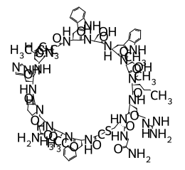 CCCC[C@H]1C(=O)N[C@@H](CCCNC(=N)N)C(=O)N[C@H](C(=O)NCC(N)=O)CSCC(=O)N[C@@H](Cc2ccccc2)C(=O)N(C)[C@@H](C)C(=O)N[C@@H](CC(N)=O)C(=O)N2CCC[C@H]2C(=O)N[C@@H](Cc2cnc[nH]2)C(=O)N[C@@H](CC(C)C)C(=O)N(C)CC(=O)N[C@@H](Cc2c[nH]c3ccccc23)C(=O)N[C@@H](CO)C(=O)N[C@@H](Cc2c[nH]c3ccccc23)C(=O)N(C)[C@@H](CO)C(=O)N1C